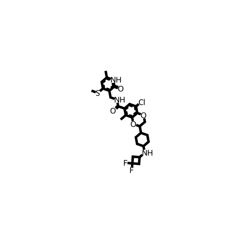 CSc1cc(C)[nH]c(=O)c1CNC(=O)c1cc(Cl)c2c(c1C)OC(C1CCC(NC3CC(F)(F)C3)CC1)CO2